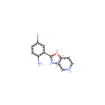 Nc1ccc(Cl)cc1-c1nc2cnccc2o1